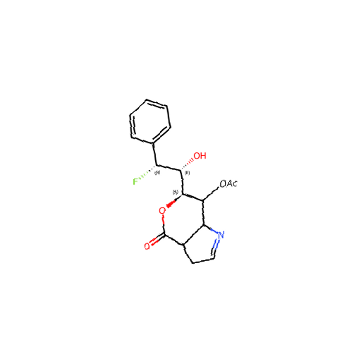 CC(=O)OC1C2N=CCC2C(=O)O[C@H]1[C@@H](O)[C@H](F)c1ccccc1